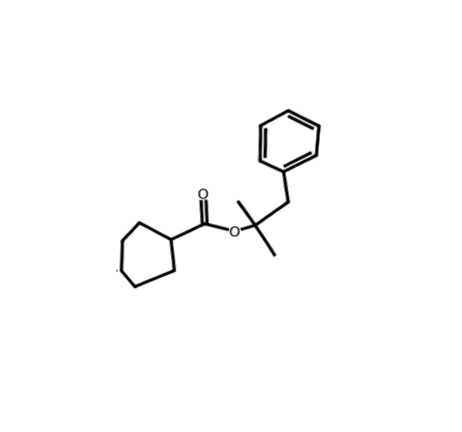 CC(C)(Cc1ccccc1)OC(=O)C1CC[CH]CC1